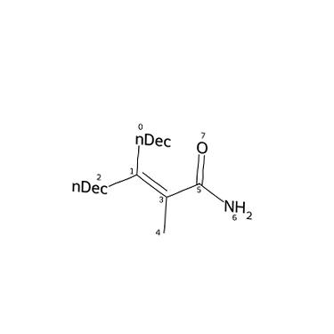 CCCCCCCCCCC(CCCCCCCCCC)=C(C)C(N)=O